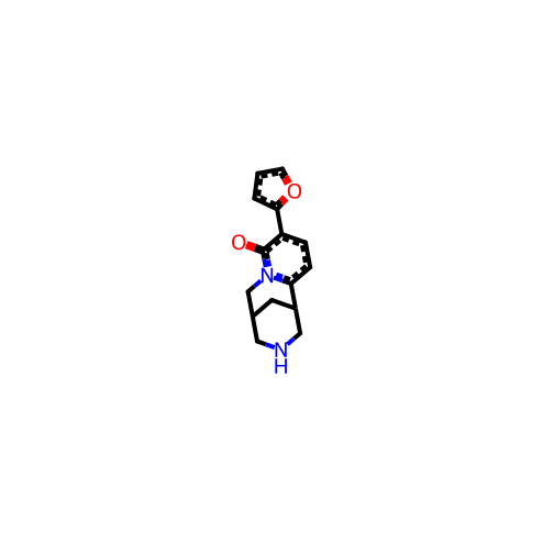 O=c1c(-c2ccco2)ccc2n1CC1CNCC2C1